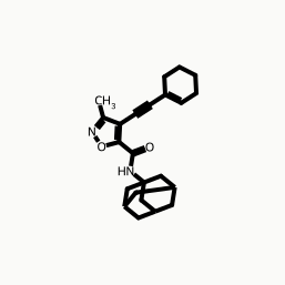 Cc1noc(C(=O)NC23CC4CC(CC(C4)C2)C3)c1C#CC1=CCCCC1